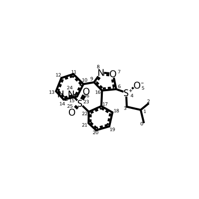 CC(C)C[S+]([O-])c1onc(-c2ccccc2)c1-c1ccccc1S(N)(=O)=O